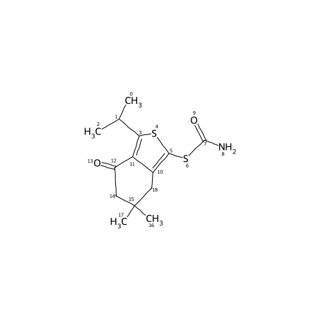 CC(C)c1sc(SC(N)=O)c2c1C(=O)CC(C)(C)C2